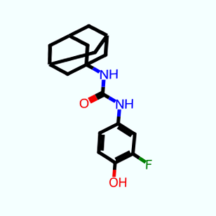 O=C(Nc1ccc(O)c(F)c1)NC12CC3CC(CC(C3)C1)C2